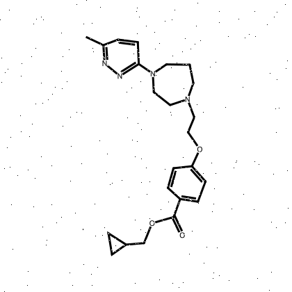 Cc1ccc(N2CCCN(CCOc3ccc(C(=O)OCC4CC4)cc3)CC2)nn1